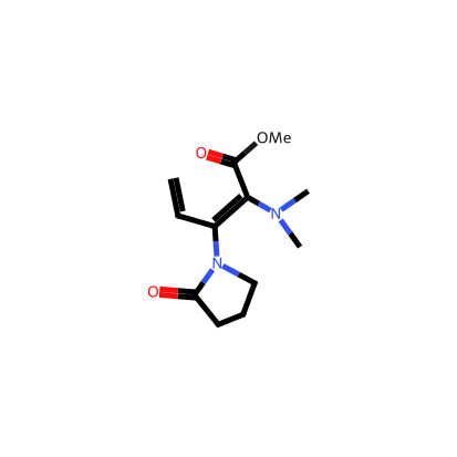 C=CC(=C(C(=O)OC)N(C)C)N1CCCC1=O